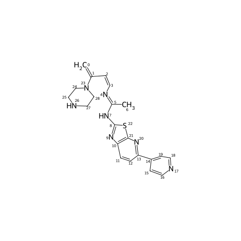 C=C(/C=C\N=C(/C)Nc1nc2ccc(-c3ccncc3)nc2s1)N1CCNCC1